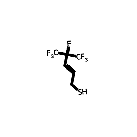 FC(F)(F)C(F)(C=CCS)C(F)(F)F